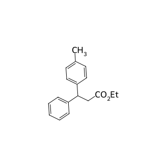 CCOC(=O)CC(c1ccccc1)c1ccc(C)cc1